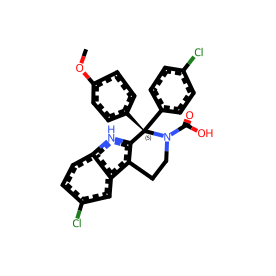 COc1ccc([C@]2(c3ccc(Cl)cc3)c3[nH]c4ccc(Cl)cc4c3CCN2C(=O)O)cc1